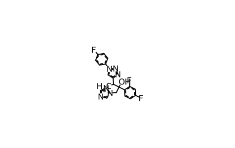 CC(c1cn(-c2ccc(F)cc2)nn1)C(O)(Cn1cncn1)c1ccc(F)cc1F